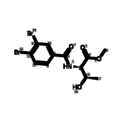 COC(=O)[C@@H](NC(=O)c1ccc(Br)c(Br)c1)[C@@H](C)O